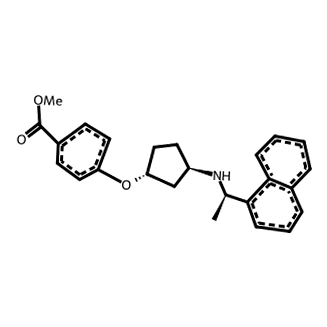 COC(=O)c1ccc(O[C@@H]2CC[C@@H](N[C@H](C)c3cccc4ccccc34)C2)cc1